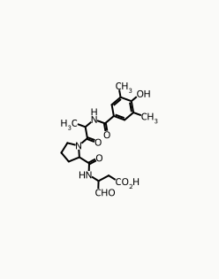 Cc1cc(C(=O)NC(C)C(=O)N2CCCC2C(=O)NC(C=O)CC(=O)O)cc(C)c1O